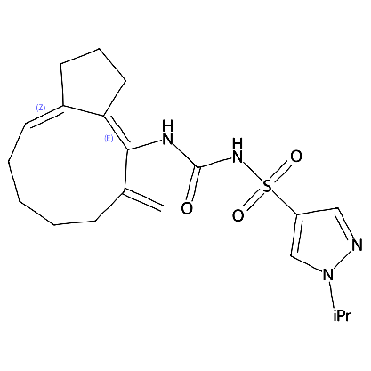 C=C1CCCC/C=C2/CCC/C2=C/1NC(=O)NS(=O)(=O)c1cnn(C(C)C)c1